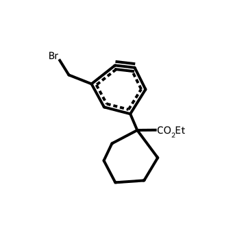 CCOC(=O)C1(c2cc#cc(CBr)c2)CCCCC1